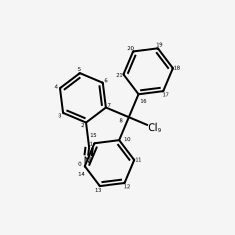 N#Cc1ccccc1C(Cl)(c1ccccc1)c1ccccc1